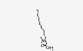 CCCCCCCCCCCCN(CC(=O)O)N(C)C